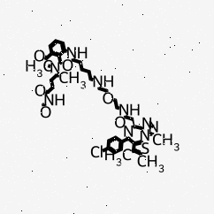 Cc1sc2c(c1C)C(c1ccc(Cl)cc1)=N[C@@H](CC(=O)NCCOCCNCCCCC(=O)Nc1cccc(C=O)c1CN(C)C(C)CCC(=O)NC=O)c1nnc(C)n1-2